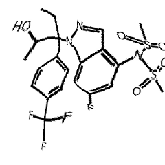 CCC(c1ccc(C(F)(F)F)cc1)(C(C)O)n1ncc2c(N(S(C)(=O)=O)S(C)(=O)=O)cc(F)cc21